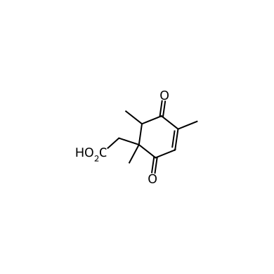 CC1=CC(=O)C(C)(CC(=O)O)C(C)C1=O